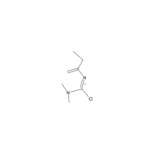 C=C(CC)/N=C(/Cl)N(C)C